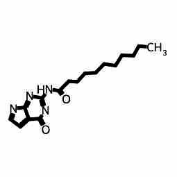 CCCCCCCCCCC(=O)NC1=NC(=O)C2=CC=NC2=N1